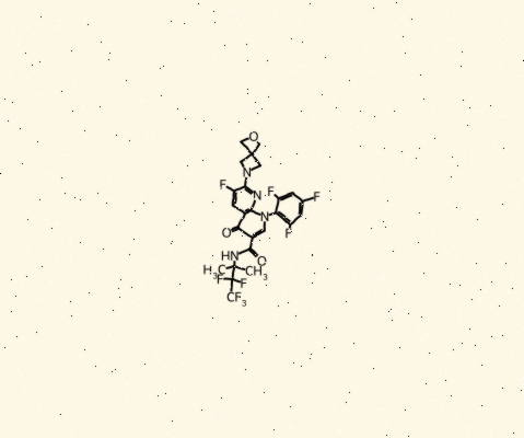 CC(C)(NC(=O)c1cn(-c2c(F)cc(F)cc2F)c2nc(N3CC4(COC4)C3)c(F)cc2c1=O)C(F)(F)C(F)(F)F